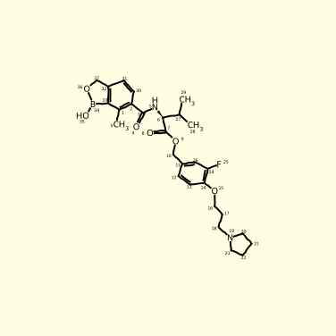 Cc1c(C(=O)N[C@H](C(=O)OCc2ccc(OCCCN3CCCC3)c(F)c2)C(C)C)ccc2c1B(O)OC2